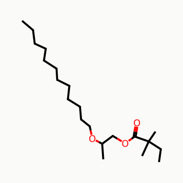 CCCCCCCCCCCCOC(C)COC(=O)C(C)(C)CC